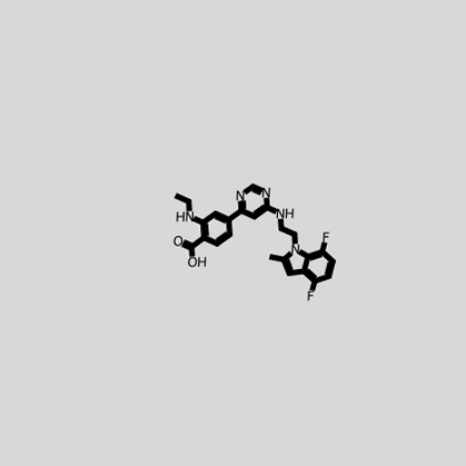 CCNc1cc(-c2cc(NCCn3c(C)cc4c(F)ccc(F)c43)ncn2)ccc1C(=O)O